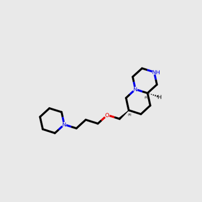 C1CCN(CCCOC[C@@H]2CC[C@@H]3CNCCN3C2)CC1